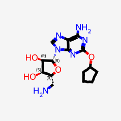 NC[C@H]1O[C@@H](n2cnc3c(N)nc(OC4CCCC4)nc32)[C@H](O)[C@@H]1O